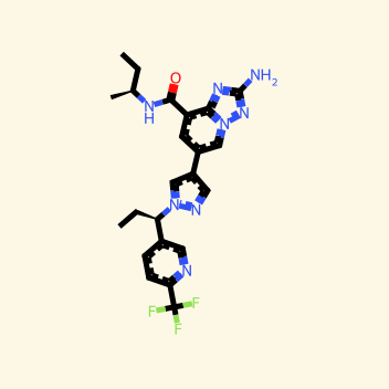 CC[C@H](c1ccc(C(F)(F)F)nc1)n1cc(-c2cc(C(=O)N[C@@H](C)CC)c3nc(N)nn3c2)cn1